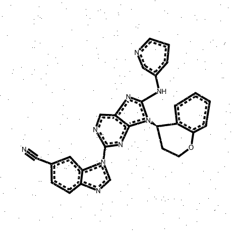 N#Cc1ccc2ncn(-c3ncc4nc(Nc5cccnc5)n([C@@H]5CCOc6ccccc65)c4n3)c2c1